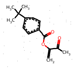 C=C(OC(=O)c1ccc(C(C)(C)C)cc1)C(C)=O